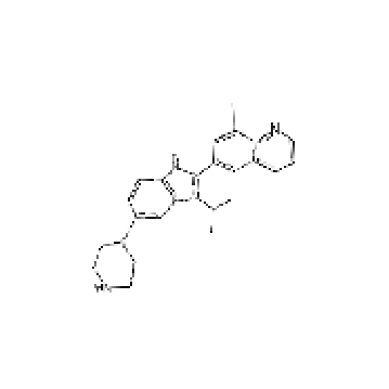 Cc1cc(-c2[nH]c3ccc(C4CCNCC4)cc3c2C(C)C)cc2cccnc12